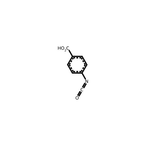 O=C=Nc1ccc(C(=O)O)cc1